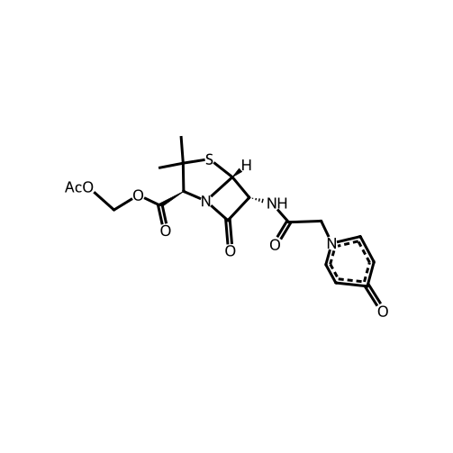 CC(=O)OCOC(=O)[C@@H]1N2C(=O)[C@@H](NC(=O)Cn3ccc(=O)cc3)[C@H]2SC1(C)C